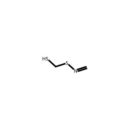 C=NSCS